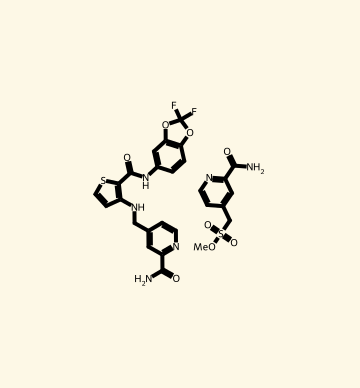 COS(=O)(=O)Cc1ccnc(C(N)=O)c1.NC(=O)c1cc(CNc2ccsc2C(=O)Nc2ccc3c(c2)OC(F)(F)O3)ccn1